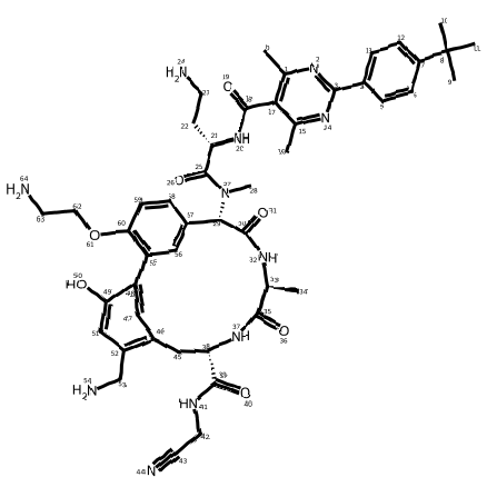 Cc1nc(-c2ccc(C(C)(C)C)cc2)nc(C)c1C(=O)N[C@@H](CCN)C(=O)N(C)[C@@H]1C(=O)N[C@@H](C)C(=O)N[C@H](C(=O)NCC#N)Cc2cc(c(O)cc2CN)-c2cc1ccc2OCCN